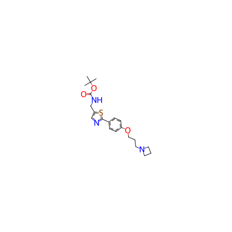 CC(C)(C)OC(=O)NCc1cnc(-c2ccc(OCCCN3CCC3)cc2)s1